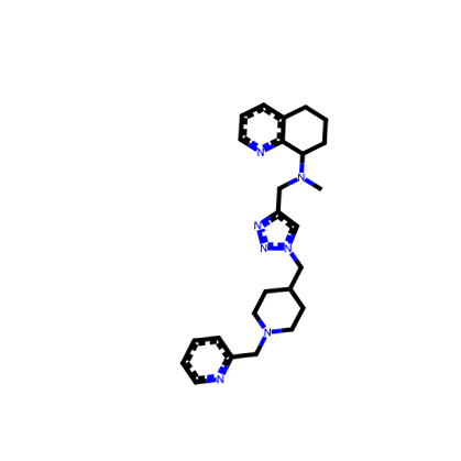 CN(Cc1cn(CC2CCN(Cc3ccccn3)CC2)nn1)C1CCCc2cccnc21